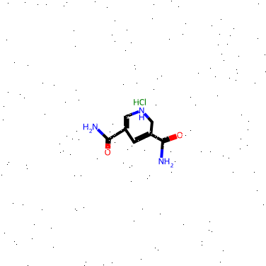 Cl.NC(=O)C1=CNCC(C(N)=O)=C1